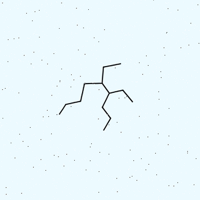 [CH2]CCCC(CC)C(CC)CCC